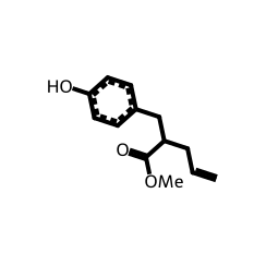 C=CCC(Cc1ccc(O)cc1)C(=O)OC